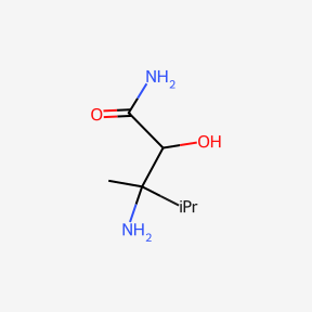 CC(C)C(C)(N)C(O)C(N)=O